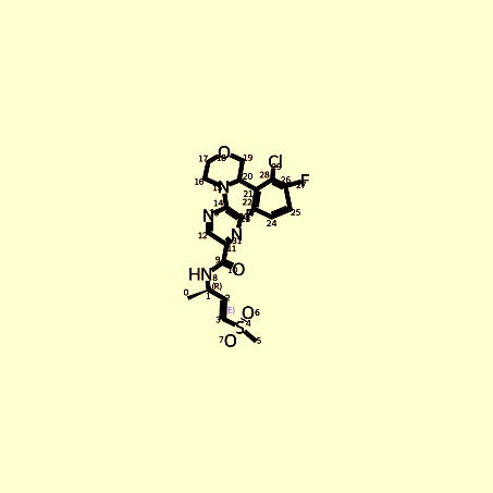 C[C@H](/C=C/S(C)(=O)=O)NC(=O)c1cnc(N2CCOCC2c2c(F)ccc(F)c2Cl)cn1